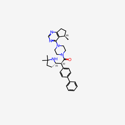 C[C@@H]1CCc2ncnc(N3CCN(C(=O)[C@@H](c4ccc(-c5ccccc5)cc4)[C@@H]4CCC(C)(C)N4)CC3)c21